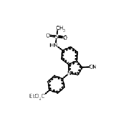 CCOC(=O)c1ccc(-n2cc(C#N)c3ccc(NS(C)(=O)=O)cc32)cc1